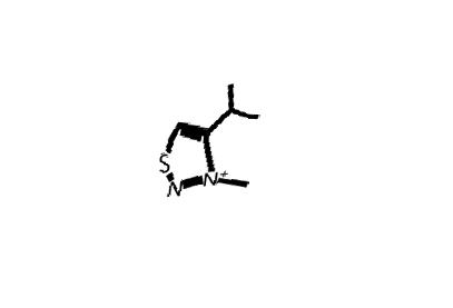 CC(C)c1csn[n+]1C